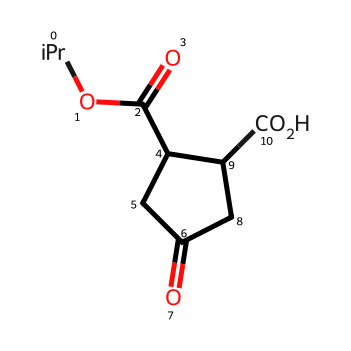 CC(C)OC(=O)C1CC(=O)CC1C(=O)O